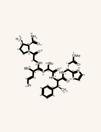 COC(=O)C[C@@H](NC(=O)C(NC(=O)C(/N=C(\NCC(=O)N1CC[C@@H](C)[C@H]1C(N)=O)C(/C=C/C(C)C)C(C)(C)C)C(C)(C)C)[C@@H](C)c1ccccc1)c1nccs1